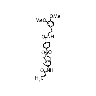 C=CC(=O)Nc1cc2c(s1)CN(S(=O)(=O)c1ccc(C(=O)NCCc3ccc(OC)c(OC)c3)cc1)C2